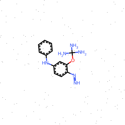 N=Nc1ccc(Nc2ccccc2)cc1OC(N)(N)N